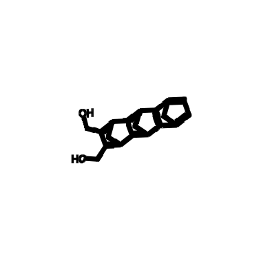 OCC1=C2CC(=C1CO)C1=C3CC(=C21)C1=C3C2=CC=C1C2